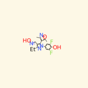 CCc1nn(-c2cc(F)c(O)c(F)c2)c(-c2c(C)noc2C)c1/C=N/O